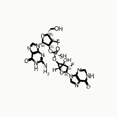 Nc1nc2c(ncn2[C@@H]2O[C@H](CO)[C@@H](F)[C@H]2O[P@](=O)(S)OC2[C@H]3O[C@@H](n4cnc5c(=O)[nH]cnc54)[C@@H](F)[C@@]23O)c(=O)[nH]1